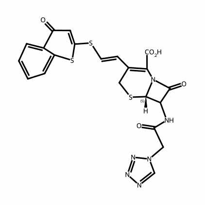 O=C(Cn1cnnn1)NC1C(=O)N2C(C(=O)O)=C(C=CSc3cc(=O)c4ccccc4s3)CS[C@@H]12